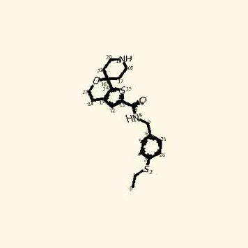 CCSc1ccc(CNC(=O)c2cc3c(s2)C2(CCNCC2)OCC3)cc1